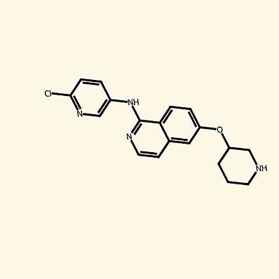 Clc1ccc(Nc2nccc3cc(OC4CCCNC4)ccc23)cn1